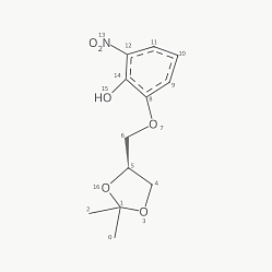 CC1(C)OC[C@H](COc2cccc([N+](=O)[O-])c2O)O1